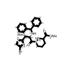 COC(=O)C1CCCN(C(=O)[C@@H](NC(c2ccccc2)c2ccccc2)[C@H](OC)c2nc(Br)cs2)N1